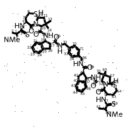 CNC(C)C(=S)N[C@H]1CCS[C@H]2CC(C)(C)[C@@H](C(=O)N[C@H]3c4ccccc4C[C@H]3C(=O)NCc3ccc(CNC(=O)[C@@H]4Cc5ccccc5[C@@H]4NC(=O)[C@H]4N5C(=O)[C@@H](NC(=S)C(C)NC)CCS[C@H]5CC4(C)C)cc3)N2C1=O